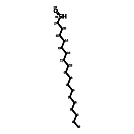 CCCCCCCCCCCCCCCCCC[SiH]=O